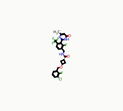 Cc1cc(=O)[nH]c(-c2c(C(F)(F)F)ccc(CNC(=O)[C@H]3C[C@H](OCc4cccc(Cl)c4F)C3)c2F)n1